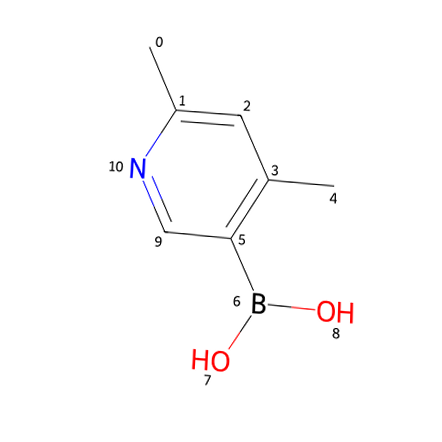 Cc1cc(C)c(B(O)O)cn1